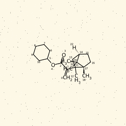 C=C(C(=O)OC1CCCCC1)C1(C)C[C@H]2CC[C@@]1(C)C2(C)C